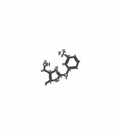 Cc1sc(Oc2cccc(C(F)(F)F)c2)nc1CO